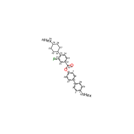 CCCCCCc1ccc(-c2ccc(OC(=O)c3ccc(C4CCC(CCCCCC)CC4)c(F)c3)cc2)cc1